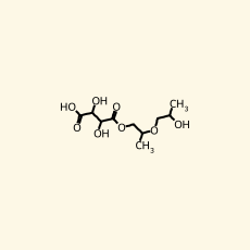 CC(O)COC(C)COC(=O)C(O)C(O)C(=O)O